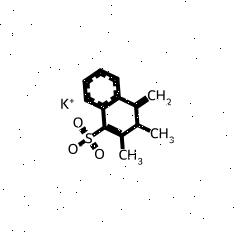 C=C1c2ccccc2C(S(=O)(=O)[O-])=C(C)C1C.[K+]